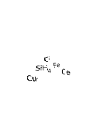 [C].[Ce].[Cu].[Fe].[SiH4]